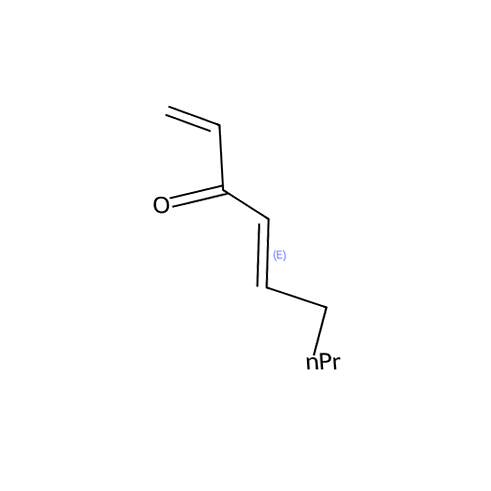 C=CC(=O)/C=C/CCCC